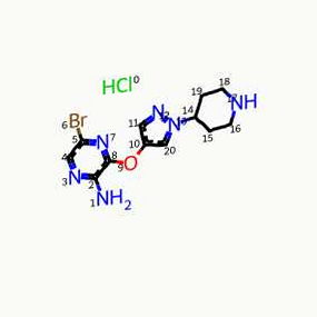 Cl.Nc1ncc(Br)nc1Oc1cnn(C2CCNCC2)c1